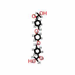 CC(C)(O)C(=O)c1ccc(COC2CCC(OCc3ccc(C(=O)C(C)(C)O)cc3)CC2)cc1